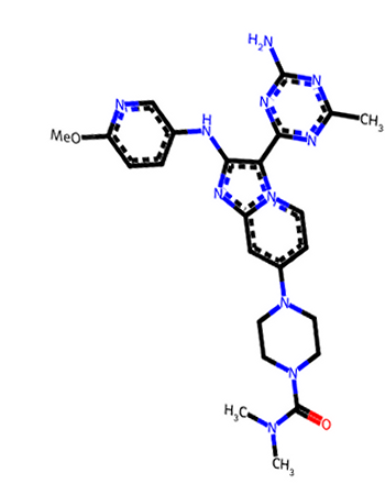 COc1ccc(Nc2nc3cc(N4CCN(C(=O)N(C)C)CC4)ccn3c2-c2nc(C)nc(N)n2)cn1